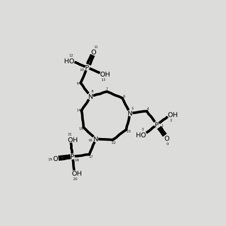 O=P(O)(O)CN1CCN(CP(=O)(O)O)CCN(CP(=O)(O)O)CC1